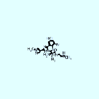 CNCCNC(=O)[C@@](C)(N)c1nc2c(Br)cccc2c2nc(-c3cnn(C)c3)nn12.Cl